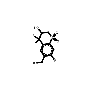 O=S1(=O)CC(O)C(F)(F)c2cc(CO)c(F)cc21